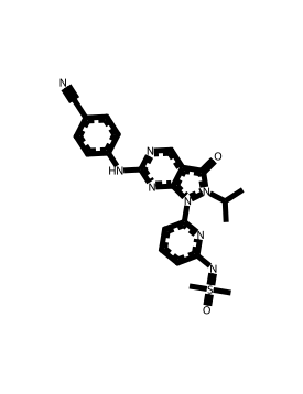 CC(C)n1c(=O)c2cnc(Nc3ccc(C#N)cc3)nc2n1-c1cccc(N=S(C)(C)=O)n1